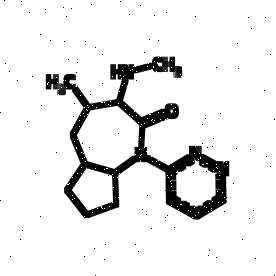 CNC1C(=O)N(c2cccnn2)C2CCCC2CC1C